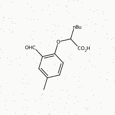 CCCCC(Oc1ccc(C)cc1C=O)C(=O)O